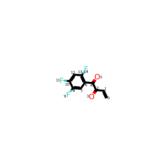 C=CC(=O)C(=O)c1cc(F)c(F)cc1F